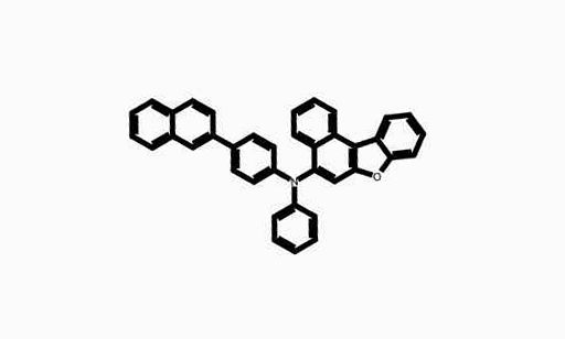 c1ccc(N(c2ccc(-c3ccc4ccccc4c3)cc2)c2cc3oc4ccccc4c3c3ccccc23)cc1